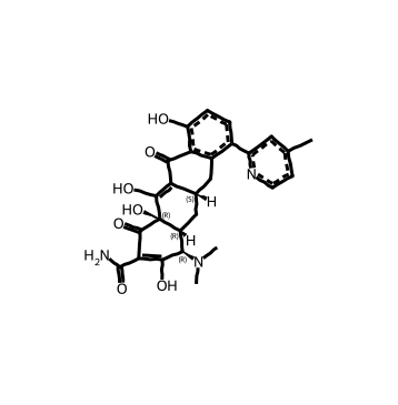 Cc1ccnc(-c2ccc(O)c3c2C[C@@H]2C[C@@H]4[C@@H](N(C)C)C(O)=C(C(N)=O)C(=O)[C@]4(O)C(O)=C2C3=O)c1